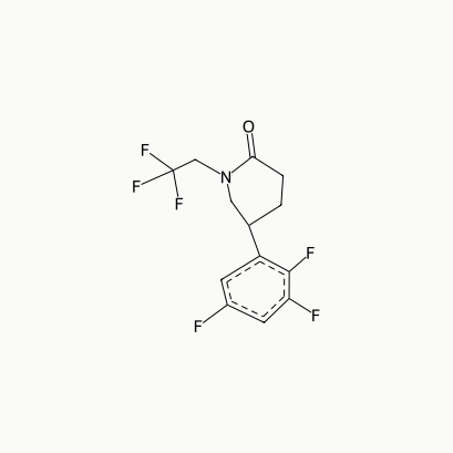 O=C1CCC(c2cc(F)cc(F)c2F)CN1CC(F)(F)F